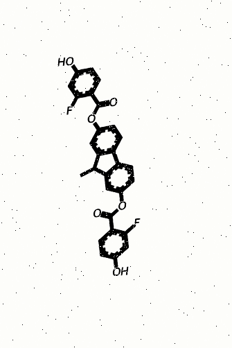 CC1c2cc(OC(=O)c3ccc(O)cc3F)ccc2-c2ccc(OC(=O)c3ccc(O)cc3F)cc21